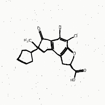 CC1(C2CCCC2)Cc2c3c(c(Cl)c(Cl)c2C1=O)OC(C(=O)O)C3